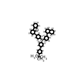 CC(C)(C)c1ccc(-c2ccc(N(c3ccc(-c4cccc5c4oc4ccccc45)cc3)c3cccc(-c4cccc5ccccc45)c3)cc2)cc1